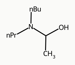 CCCCN(CCC)C(C)O